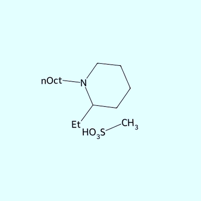 CCCCCCCCN1CCCCC1CC.CS(=O)(=O)O